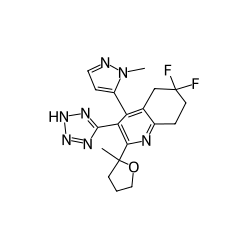 Cn1nccc1-c1c2c(nc(C3(C)CCCO3)c1-c1nn[nH]n1)CCC(F)(F)C2